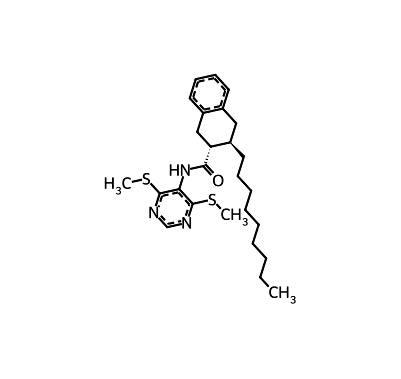 CCCCCCCCC[C@@H]1Cc2ccccc2C[C@H]1C(=O)Nc1c(SC)ncnc1SC